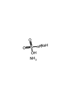 CCCS(=O)(=O)O.N.[NaH]